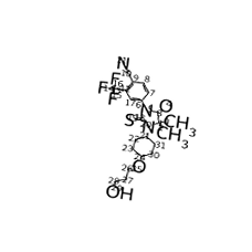 CC1(C)C(=O)N(c2ccc(C#N)c(C(F)(F)F)c2)C(=S)N1[C@H]1CC[C@H](OCCCO)CC1